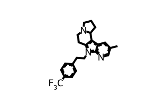 Cc1cnc2c(c1)c1c(n2CCc2ccc(C(F)(F)F)cc2)CCN2CCCC12